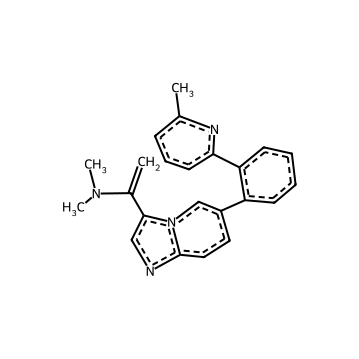 C=C(c1cnc2ccc(-c3ccccc3-c3cccc(C)n3)cn12)N(C)C